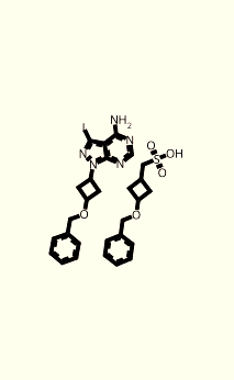 Nc1ncnc2c1c(I)nn2C1CC(OCc2ccccc2)C1.O=S(=O)(O)CC1CC(OCc2ccccc2)C1